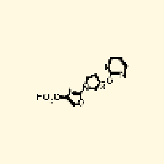 O=C(O)c1coc(N2CC[C@H](Oc3ncccn3)C2)n1